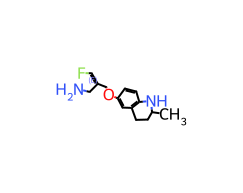 CC1CCc2cc(OC/C(=C/F)CN)ccc2N1